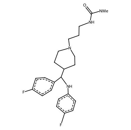 CNC(=O)NCCCN1CCC(C(Nc2ccc(F)cc2)c2ccc(F)cc2)CC1